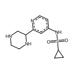 O=S(=O)(Nc1ccnc(C2CNCCN2)c1)C1CC1